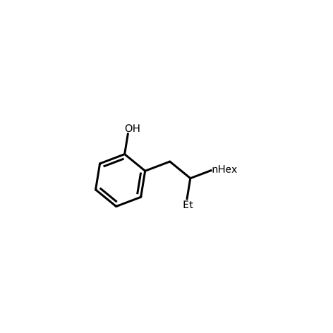 CCCCCCC(CC)Cc1ccccc1O